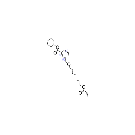 C=CC(=O)OCCCCCCCO/C=C/C=C(\C=C/C)C(=O)OC1CCCCC1